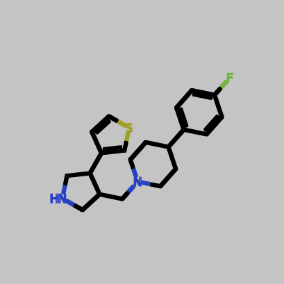 Fc1ccc(C2CCN(CC3CNCC3c3ccsc3)CC2)cc1